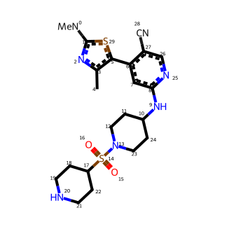 CNc1nc(C)c(-c2cc(NC3CCN(S(=O)(=O)C4CCNCC4)CC3)ncc2C#N)s1